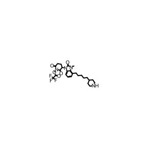 Cn1c(=O)n(C2CCC(=O)N(OC(=O)C(F)(F)F)C2=O)c2cccc(CCCCCC3CCNCC3)c21